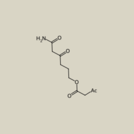 CC(=O)CC(=O)OCCCC(=O)CC(N)=O